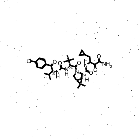 CC(C)[C@H](NC(=O)N[C@H](C(=O)N1CC2[C@@H]([C@H]1C(=O)NC(CC1CC1)C(=O)C(N)=O)C2(C)C)C(C)(C)C)C(=O)c1ccc(Cl)cc1